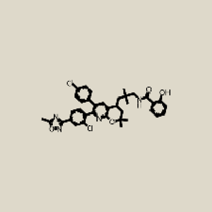 Cc1nc(-c2ccc(-c3nc4c(cc3-c3ccc(Cl)cc3)C(CC(C)(C)CNC(=O)c3ccccc3O)CC(C)(C)O4)c(Cl)c2)no1